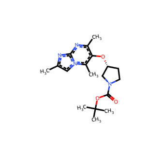 Cc1cn2c(C)c(O[C@@H]3CCN(C(=O)OC(C)(C)C)C3)c(C)nc2n1